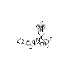 C[C@H]1CN(C(=O)OCc2ccccc2)CCN1C(c1cccc(F)c1)C1CCN(S(=O)(=O)C2CC2)CC1